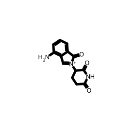 Nc1cccc2c1C=[N+](C1CCC(=O)NC1=O)C2=O